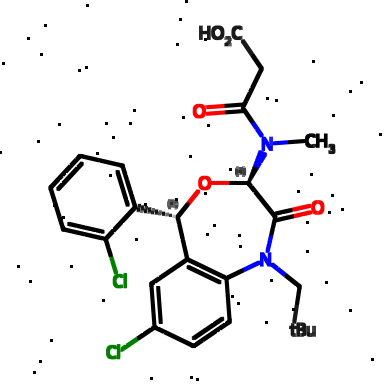 CN(C(=O)CC(=O)O)[C@@H]1O[C@@H](c2ccccc2Cl)c2cc(Cl)ccc2N(CC(C)(C)C)C1=O